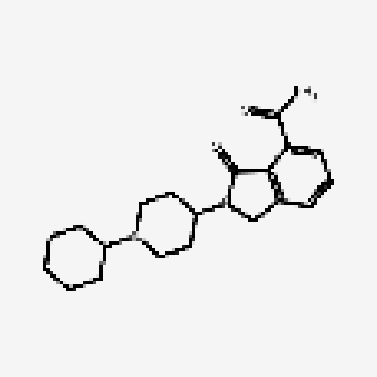 NC(=O)c1cccc2c1C(=O)N(C1CCN(C3CCCCC3)CC1)C2